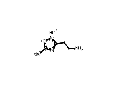 CC(C)(C)c1nc(CCN)no1.Cl